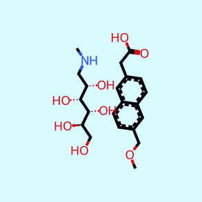 CNC[C@H](O)[C@@H](O)[C@H](O)[C@H](O)CO.COCc1ccc2cc(CC(=O)O)ccc2c1